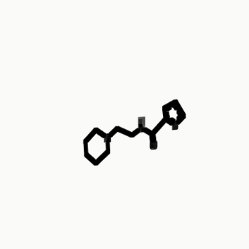 O=C(NCCN1CCCCC1)c1cccs1